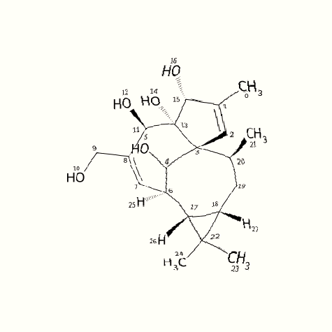 CC1=C[C@@]23C(O)[C@H](C=C(CO)[C@@H](O)[C@@]2(O)[C@@H]1O)[C@@H]1[C@H](C[C@@H]3C)C1(C)C